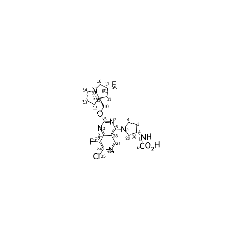 O=C(O)N[C@H]1CCN(c2nc(OC[C@@]34CCCN3C[C@H](F)C4)nc3c(F)c(Cl)ncc23)C1